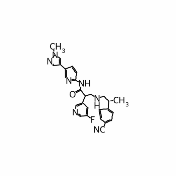 C[C@H](CNCC(C(=O)Nc1ccc(-c2cnn(C)c2)cn1)c1cncc(F)c1)c1ccc(C#N)cc1